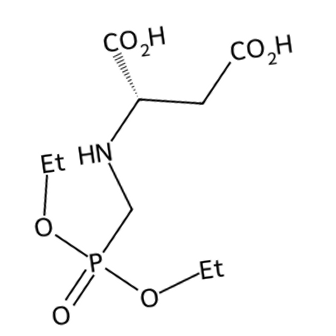 CCOP(=O)(CN[C@@H](CC(=O)O)C(=O)O)OCC